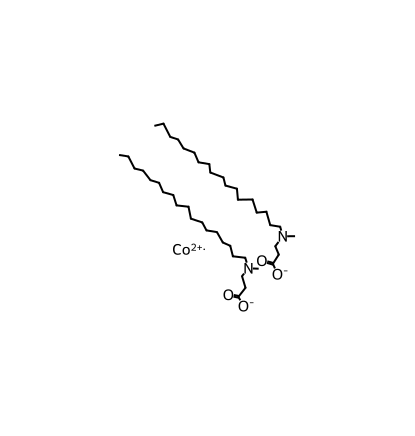 CCCCCCCCCCCCCCCCCCN(C)CCC(=O)[O-].CCCCCCCCCCCCCCCCCCN(C)CCC(=O)[O-].[Co+2]